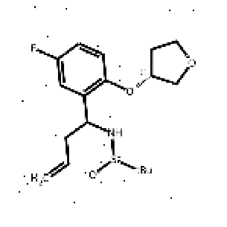 C=CCC(N[S+]([O-])C(C)(C)C)c1cc(F)ccc1O[C@@H]1CCOC1